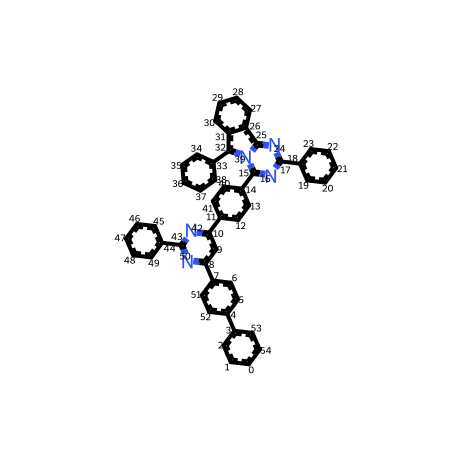 c1ccc(-c2ccc(-c3cc(-c4ccc(-c5nc(-c6ccccc6)nc6c7ccccc7c(-c7ccccc7)n56)cc4)nc(-c4ccccc4)n3)cc2)cc1